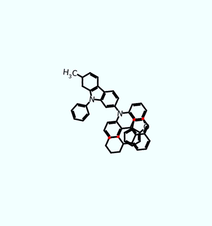 CC1C=Cc2c(n(-c3ccccc3)c3cc(N(c4ccccc4-c4cccc5cccc(C6CCCCC6)c45)c4cccc5oc6ccccc6c45)ccc23)C1